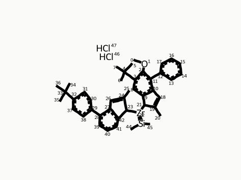 COc1c(C(C)(C)C)cc2c(c1-c1ccccc1)C=C(C)[CH]2[Zr]([CH]1C(C)=Cc2c(-c3ccc(C(C)(C)C)cc3)cccc21)=[Si](C)C.Cl.Cl